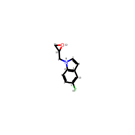 Fc1ccc2c(ccn2CC2CO2)c1